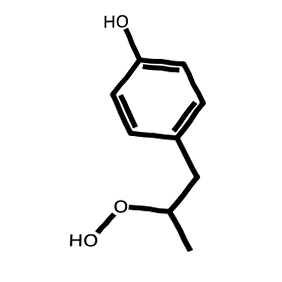 CC(Cc1ccc(O)cc1)OO